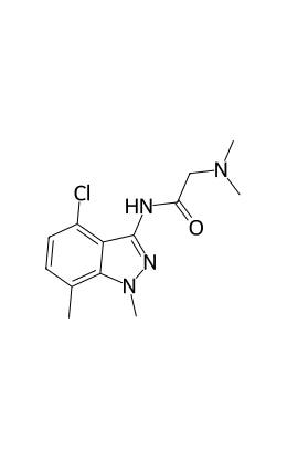 Cc1ccc(Cl)c2c(NC(=O)CN(C)C)nn(C)c12